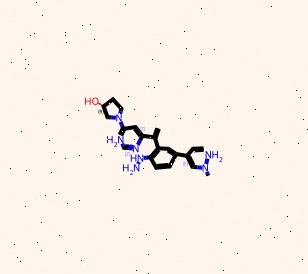 C=C/C(=C\N(C)N)c1ccc(NN)c(C(=C)C(=C/C(=C)N2CC[C@@H](O)C2)/N=C\N)c1